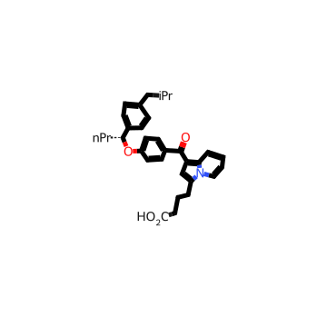 CCC[C@@H](Oc1ccc(C(=O)c2cc(CCCC(=O)O)n3ccccc23)cc1)c1ccc(CC(C)C)cc1